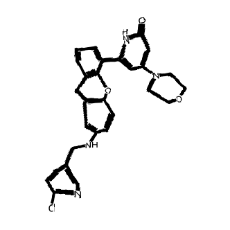 O=c1cc(N2CCOCC2)cc(-c2cccc3c2Oc2ccc(NCc4ccc(Cl)nc4)cc2C3)[nH]1